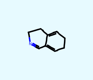 C1=NCCC2=CCCC=C12